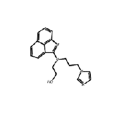 OCCN(CCCn1ccnc1)C1=Nc2cccc3cccc1c23